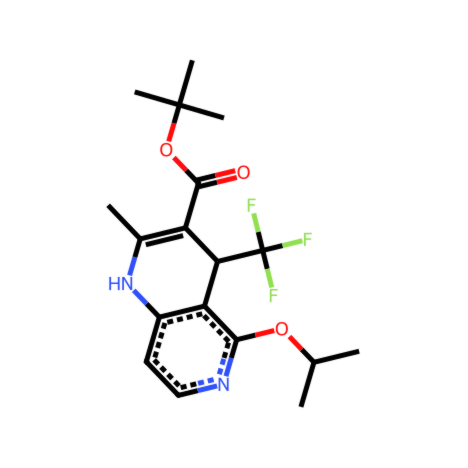 CC1=C(C(=O)OC(C)(C)C)C(C(F)(F)F)c2c(ccnc2OC(C)C)N1